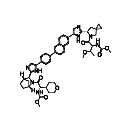 COC(=O)N[C@H](C(=O)N1[C@@H]2CC[C@@H](C2)[C@H]1c1ncc(-c2ccc(-c3ccc4cc(-c5cnc([C@@H]6CC7(CC7)CN6C(=O)[C@@H](NC(=O)OC)C(C)OC)[nH]5)ccc4c3)cc2)[nH]1)C1CCOCC1